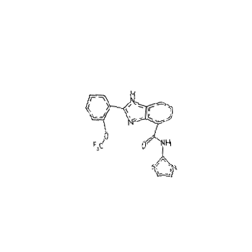 O=C(Nc1nccs1)c1cccc2[nH]c(-c3ccccc3OC(F)(F)F)nc12